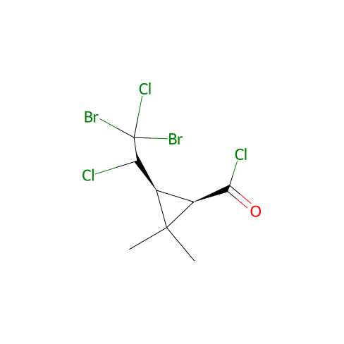 CC1(C)[C@H](C(=O)Cl)[C@@H]1C(Cl)C(Cl)(Br)Br